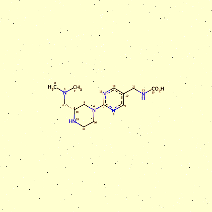 CN(C)C[C@@H]1CN(c2ncc(CNC(=O)O)cn2)CCN1